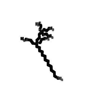 CCCCCCCCCCCCCC[N+](CCC)(CCC)CCC[Si](OCC)(OCC)OCC